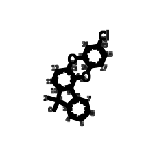 CC1(C)c2ccccc2-c2c1ccc1c2Oc2ccc(Cl)cc2O1